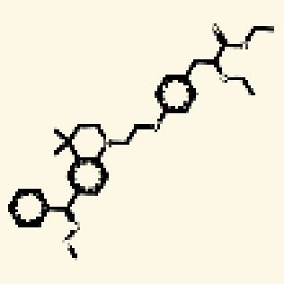 CCOC(=O)C(Cc1ccc(OCCN2CCC(C)(C)c3cc(/C(=N/OC)c4ccccc4)ccc32)cc1)OCC